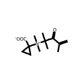 C=C(C)C(=O)C(C)(C)[N+](C)(C)C1(C(=O)[O-])CC1